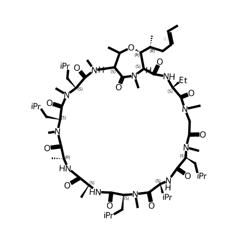 C/C=C/C[C@@H](C)[C@H]1OC(C)[C@H]2C(=O)N(C)[C@@H]1C(=O)N[C@@H](CC)C(=O)N(C)CC(=O)N(C)[C@@H](CC(C)C)C(=O)N[C@@H](C(C)C)C(=O)N(C)[C@@H](CC(C)C)C(=O)N[C@@H](C)C(=O)N[C@H](C)C(=O)N(C)[C@@H](CC(C)C)C(=O)N(C)[C@@H](CC(C)C)C(=O)N2C